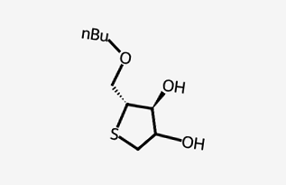 CCCCOC[C@H]1SCC(O)[C@@H]1O